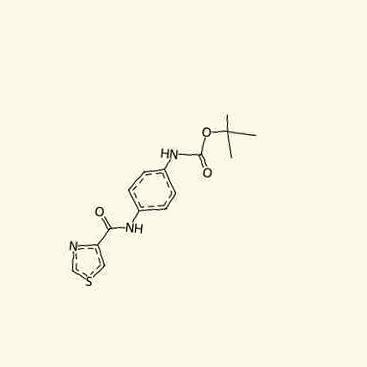 CC(C)(C)OC(=O)Nc1ccc(NC(=O)c2cscn2)cc1